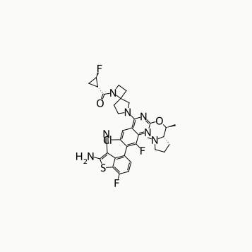 C[C@H](Oc1nc(N2CCC3(CCN3C(=O)[C@@H]3C[C@H]3F)C2)c2cc(Cl)c(-c3ccc(F)c4sc(N)c(C#N)c34)c(F)c2n1)[C@@H]1CCCN1C